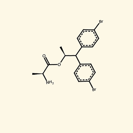 C[C@H](N)C(=O)O[C@@H](C)C(c1ccc(Br)cc1)c1ccc(Br)cc1